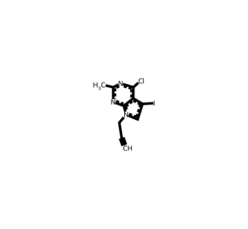 C#CCn1cc(I)c2c(Cl)nc(C)nc21